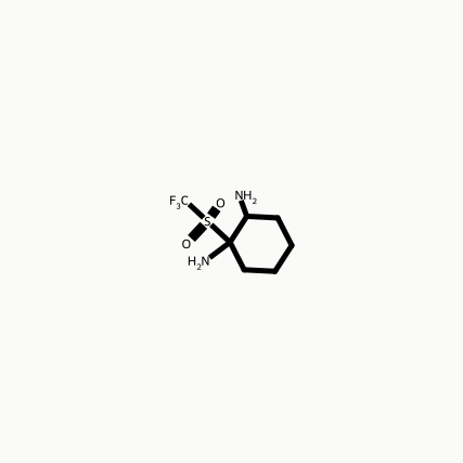 NC1CCCCC1(N)S(=O)(=O)C(F)(F)F